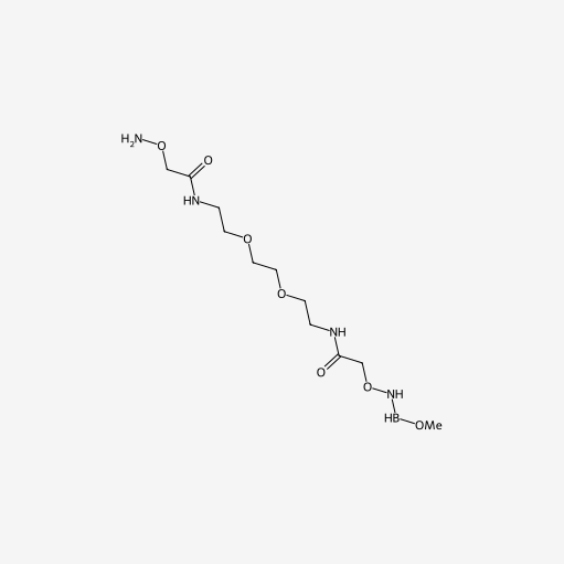 COBNOCC(=O)NCCOCCOCCNC(=O)CON